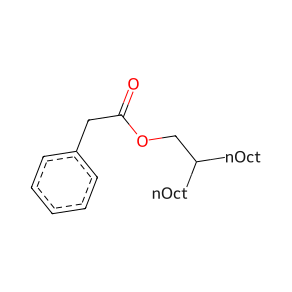 CCCCCCCCC(CCCCCCCC)COC(=O)Cc1ccccc1